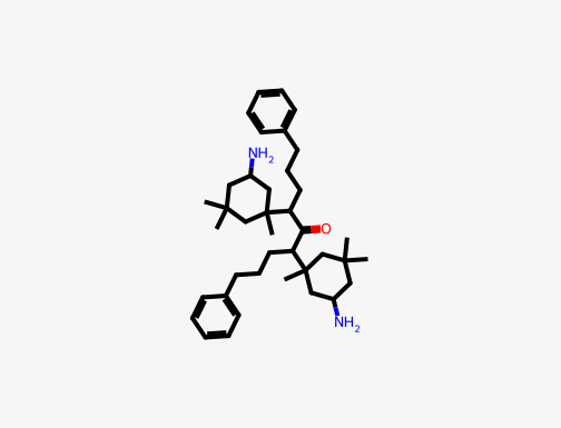 CC1(C)CC(N)CC(C)(C(CCCc2ccccc2)C(=O)C(CCCc2ccccc2)C2(C)CC(N)CC(C)(C)C2)C1